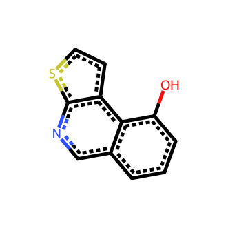 Oc1cccc2cnc3sccc3c12